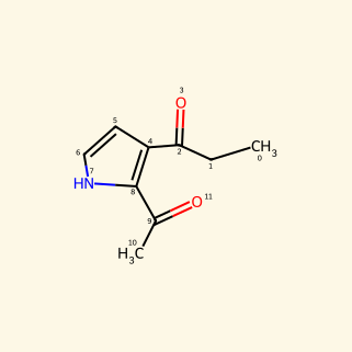 CCC(=O)c1cc[nH]c1C(C)=O